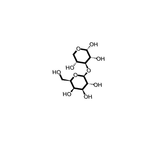 OC[C@H]1O[C@@H](O[C@@H]2[C@@H](O)[C@@H](O)OC[C@H]2O)[C@H](O)[C@@H](O)[C@H]1O